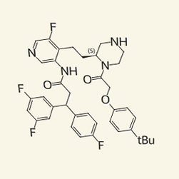 CC(C)(C)c1ccc(OCC(=O)N2CCNC[C@@H]2CCc2c(F)cncc2NC(=O)CC(c2ccc(F)cc2)c2cc(F)cc(F)c2)cc1